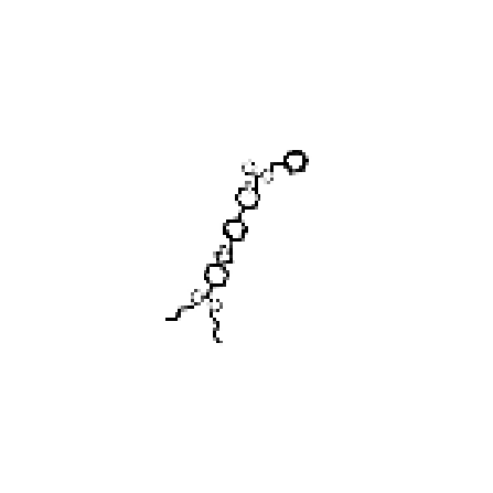 CCCCOC(OCCCC)C1CCC2(CC1)CN(c1ccc(C3CCN(C(=O)OCc4ccccc4)CC3)cc1)C2